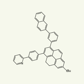 CC(C)(C)c1cc2c3c(ccc4c(-c5cccc(-c6ccc7ccccc7c6)c5)cc(-c5ccc(-c6ccccn6)cc5)c(c43)CC2)c1